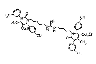 CCOC(=O)C1=C(C)N(c2cccc(C(F)(F)F)c2)C(=O)N(CCCCCNC(=N)NCCCCCN2C(=O)N(c3cccc(C(F)(F)F)c3)C(C)=C(C(=O)OCC)[C@H]2c2ccc(C#N)cc2)[C@@H]1c1ccc(C#N)cc1